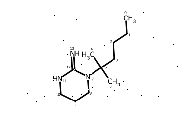 CCCCC(C)(C)N1CCCNC1=N